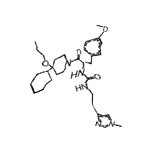 CCCOC1(C2CCCCC2)CCN(C(=O)[C@@H](Cc2ccc(OC)cc2)NC(=O)NCCc2cn(C)cn2)CC1